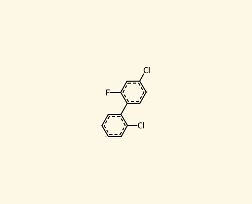 Fc1cc(Cl)ccc1-c1cc[c]cc1Cl